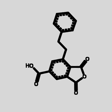 O=C(O)c1cc(CCc2ccccc2)c2c(c1)C(=O)OC2=O